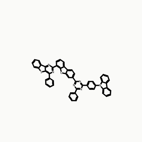 c1ccc(-c2nc(-c3ccc(-n4c5ccccc5c5ccccc54)cc3)nc(-c3ccc4c(c3)oc3c(-c5nc(-c6ccccc6)c6sc7ccccc7c6n5)cccc34)n2)cc1